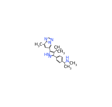 CNC(C)c1ccc(-c2n[nH]c(-c3cc(C)c4ncnn4c3)c2C(C)C)cc1